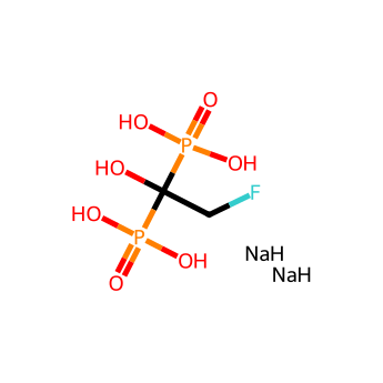 O=P(O)(O)C(O)(CF)P(=O)(O)O.[NaH].[NaH]